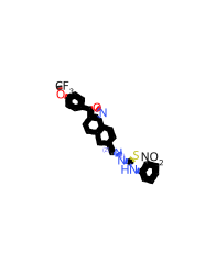 O=[N+]([O-])c1ccccc1NC(=S)/N=N/C=C1\C=CC2=C(CCc3c2noc3-c2ccc(OC(F)(F)F)cc2)C1